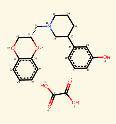 O=C(O)C(=O)O.Oc1cccc(C2CCCN(C[C@H]3COc4ccccc4O3)C2)c1